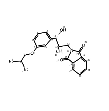 CCC(CC)COc1cccc([C@H](O)[C@H](C)CN2C(=O)c3ccccc3C2=O)c1